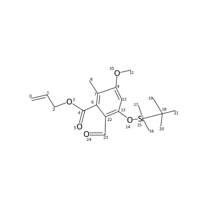 C=CCOC(=O)c1c(C)c(OC)cc(O[Si](C)(C)C(C)(C)C)c1C=O